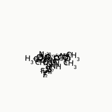 CC1CN(Cc2ccc3c(c2)nc(NC(=O)c2ccc(C(F)F)s2)n3C[C@H]2CCCN2C(=O)C(C#N)=CC(C)(C)C)CC(C)O1